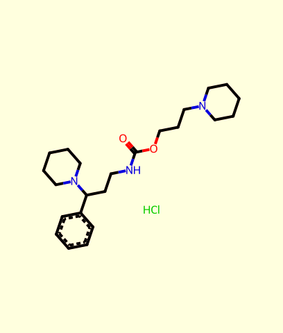 Cl.O=C(NCCC(c1ccccc1)N1CCCCC1)OCCCN1CCCCC1